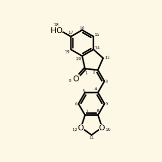 O=C1C(=Cc2ccc3c(c2)OCO3)Cc2ccc(O)cc21